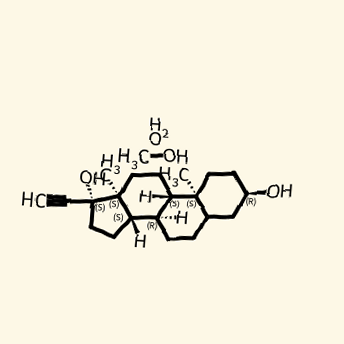 C#C[C@]1(O)CC[C@H]2[C@@H]3CCC4C[C@H](O)CC[C@]4(C)[C@H]3CC[C@@]21C.CO.O